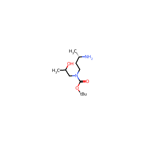 CC(O)CN(CC[C@H](C)N)C(=O)OC(C)(C)C